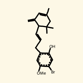 C=C1C=C(C)CC(C)(C)C1C=CCc1cc(OC)c(Br)cc1O